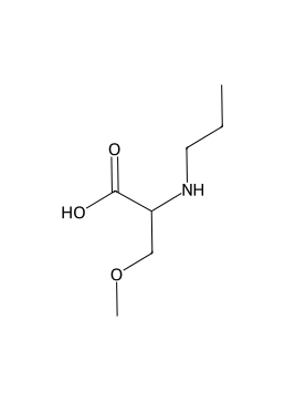 CCCNC(COC)C(=O)O